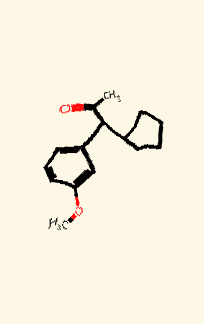 COc1cccc(C(C(C)=O)C2CCCC2)c1